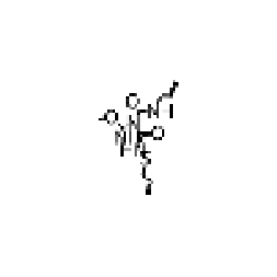 C=CCNC(=O)N(C(=N)OC)C(=O)NSCC=C